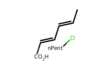 C/C=C/C=C/C(=O)O.CCCCCCl